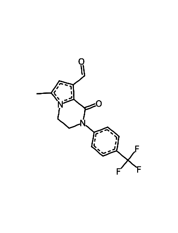 Cc1cc(C=O)c2n1CCN(c1ccc(C(F)(F)F)cc1)C2=O